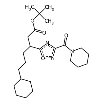 CC(C)(C)OC(=O)CC(CCCC1CCCCC1)c1nc(C(=O)N2CCCCC2)no1